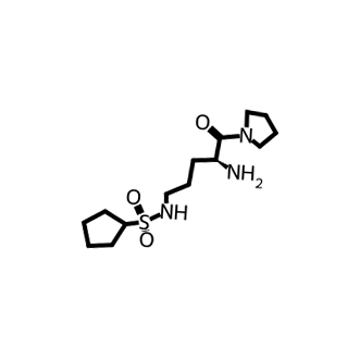 N[C@@H](CCCNS(=O)(=O)C1CCCC1)C(=O)N1CCCC1